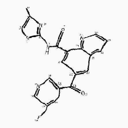 Cc1csc(NC(=O)c2cc(C(=O)c3cncc(F)c3)cc3cccnc23)n1